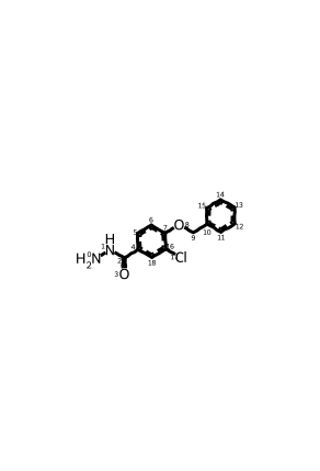 NNC(=O)c1ccc(OCc2ccccc2)c(Cl)c1